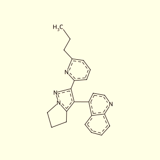 CCCc1cccc(-c2nn3c(c2-c2ccnc4ccccc24)CCC3)n1